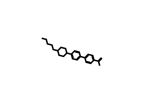 C=C(C)c1ccc(-c2ccc(C3CCC(CCCCC)CC3)cc2)cc1